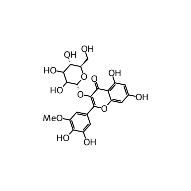 COc1cc(-c2oc3cc(O)cc(O)c3c(=O)c2O[C@H]2O[C@H](CO)[C@@H](O)C(O)C2O)cc(O)c1O